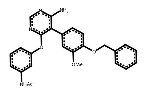 COc1cc(-c2c(N)ncnc2Oc2cccc(NC(C)=O)c2)ccc1OCc1ccccc1